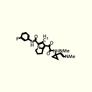 CN/C=C(\NC)C1(NC(=O)C(=O)c2c(C)c(C(=O)Nc3cccc(F)c3)n3c2CCC3)CC1